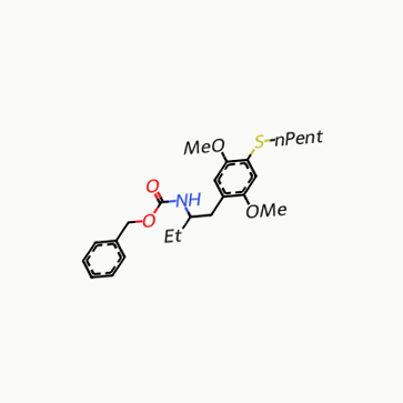 CCCCCSc1cc(OC)c(CC(CC)NC(=O)OCc2ccccc2)cc1OC